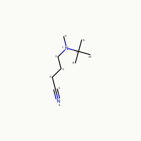 CN(CCCC#N)C(C)(C)C